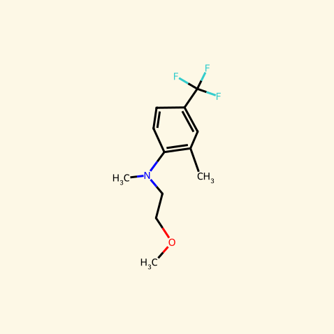 COCCN(C)c1ccc(C(F)(F)F)cc1C